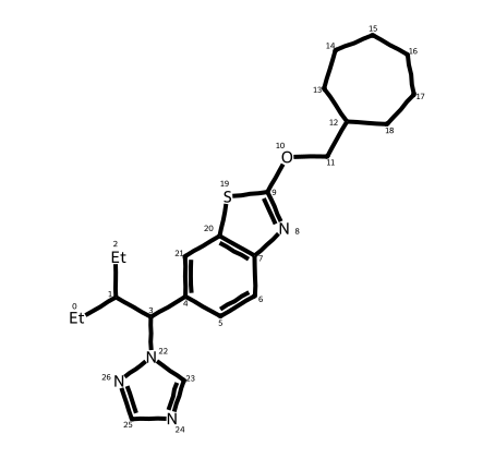 CCC(CC)C(c1ccc2nc(OCC3CCCCCC3)sc2c1)n1cncn1